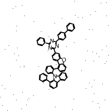 c1ccc(-c2ccc(-c3nc(-c4ccccc4)nc(-c4ccc5c(c4)oc4cccc(-c6ccccc6-n6c7ccccc7c7cccc(-c8ccccc8)c76)c45)n3)cc2)cc1